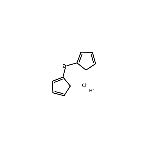 C1=CC[C]([Zr][C]2=CC=CC2)=C1.[Cl-].[H-]